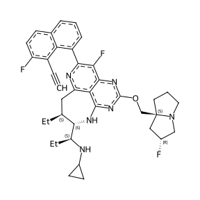 C#Cc1c(F)ccc2cccc(-c3nc4c5c(nc(OC[C@@]67CCCN6C[C@H](F)C7)nc5c3F)N[C@H]([C@H](CC)NC3CC3)[C@@H](CC)C4)c12